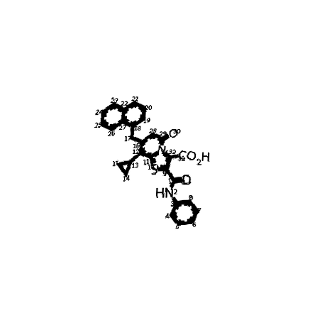 O=C(Nc1ccccc1)c1sc2c(C3CC3)c(Cc3cccc4ccccc34)cc(=O)n2c1C(=O)O